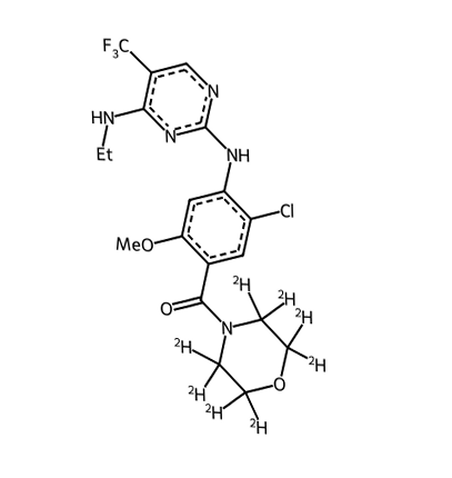 [2H]C1([2H])OC([2H])([2H])C([2H])([2H])N(C(=O)c2cc(Cl)c(Nc3ncc(C(F)(F)F)c(NCC)n3)cc2OC)C1([2H])[2H]